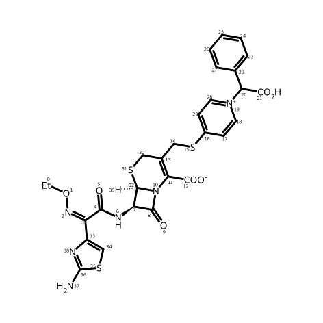 CCO/N=C(\C(=O)N[C@@H]1C(=O)N2C(C(=O)[O-])=C(CSc3cc[n+](C(C(=O)O)c4ccccc4)cc3)CS[C@H]12)c1csc(N)n1